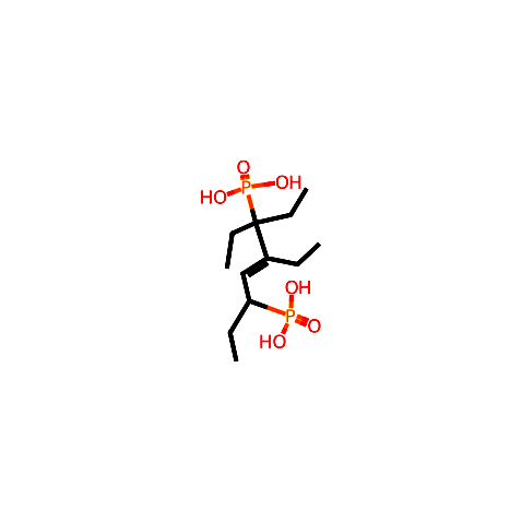 CC/C(=C\C(CC)P(=O)(O)O)C(CC)(CC)P(=O)(O)O